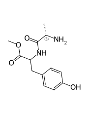 COC(=O)C(Cc1ccc(O)cc1)NC(=O)[C@H](C)N